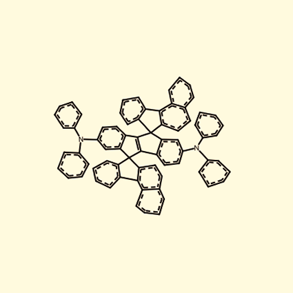 c1ccc(N(c2ccccc2)c2ccc3c(c2)C2(C4=C3C3(c5cc(N(c6ccccc6)c6ccccc6)ccc54)c4ccccc4-c4c3ccc3ccccc43)c3ccccc3-c3c2ccc2ccccc32)cc1